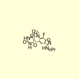 CCCNc1noc2c(F)c3c(cc12)CC1(C(=O)NC(=O)NC1=O)[C@H]1[C@H](C)O[C@H](C)CN31